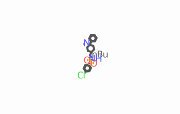 CCCCC1(CNS(=O)(=O)c2ccc(Cl)cc2)CCC(c2ccccc2)(N(C)C)CC1